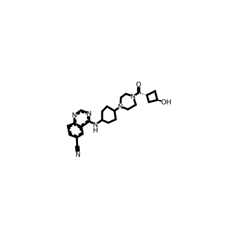 N#Cc1ccc2ncnc(NC3CCC(N4CCN(C(=O)[C@H]5C[C@H](O)C5)CC4)CC3)c2c1